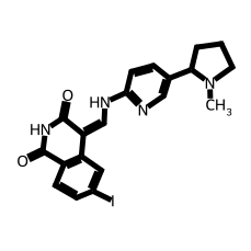 CN1CCCC1c1ccc(NC=C2C(=O)NC(=O)c3ccc(I)cc32)nc1